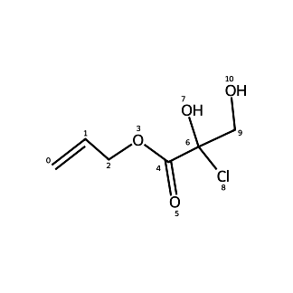 C=CCOC(=O)C(O)(Cl)CO